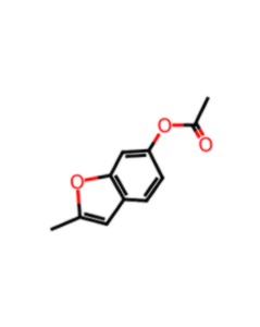 CC(=O)Oc1ccc2cc(C)oc2c1